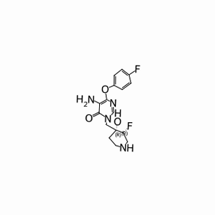 Nc1c(Oc2ccc(F)cc2)ncn(C[C@]2(O)CCNC[C@H]2F)c1=O